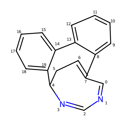 C1=N\C=N/C2C/C=C/1c1ccccc1-c1ccccc12